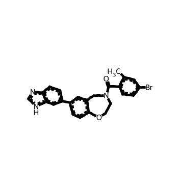 Cc1cc(Br)ccc1C(=O)N1CCOc2ccc(-c3ccc4nc[nH]c4c3)cc2C1